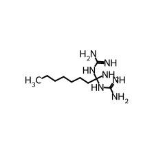 CCCCCCCC(N)(NC(=N)N)NC(=N)N